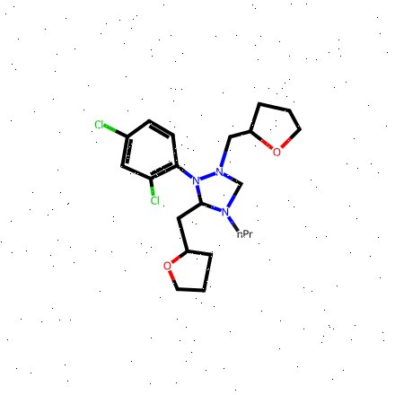 CCCN1CN(CC2CCCO2)N(c2ccc(Cl)cc2Cl)C1CC1CCCO1